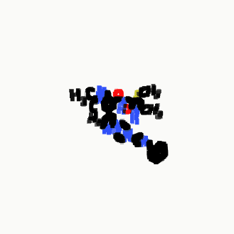 CSc1cc(C)[nH]c(=O)c1CNC(=O)c1cc(-c2ccnc(N3CCN(C4CN(CCC56CC7CC(CC(C7)C5)C6)C4)CC3)c2)cc2c1cnn2C(C)C